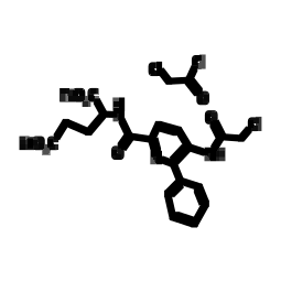 CCOC(=O)CCC(NC(=O)c1ccc(NC(=O)CCl)c(-c2ccccc2)n1)C(=O)OCC.O=C(Cl)CCl